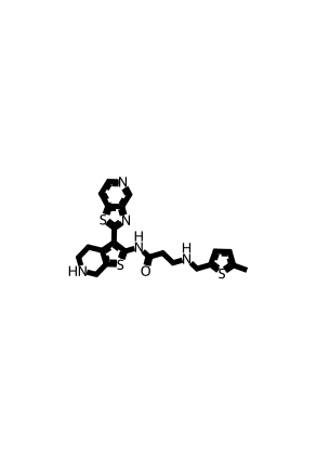 Cc1ccc(CNCCC(=O)Nc2sc3c(c2-c2nc4cnccc4s2)CCNC3)s1